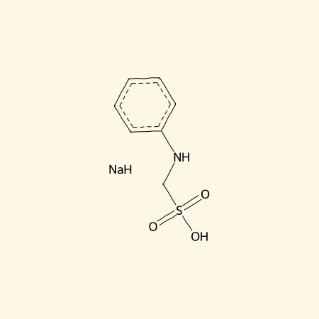 O=S(=O)(O)CNc1ccccc1.[NaH]